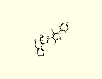 Cc1nn(-c2ccccc2)c(C)c1N=Cc1c(O)ccc2ccccc12